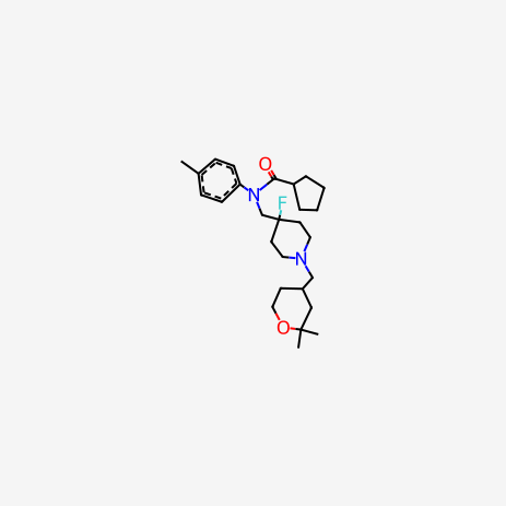 Cc1ccc(N(CC2(F)CCN(CC3CCOC(C)(C)C3)CC2)C(=O)C2CCCC2)cc1